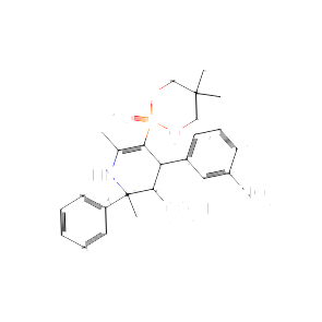 CC1=C(P2(=O)OCC(C)(C)CO2)C(c2cccc([N+](=O)[O-])c2)C(C(=O)O)C(C)(c2ccccc2)N1